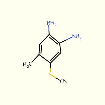 Cc1cc(N)c(N)cc1SC#N